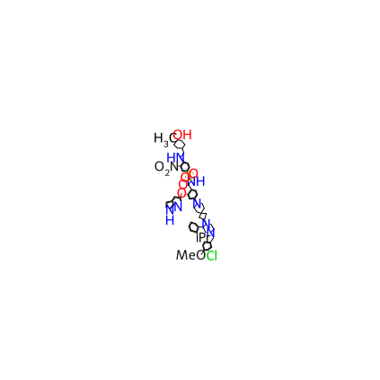 COc1ccc(CN2CCN(C3CC4(CCN(c5ccc(C(=O)NS(=O)(=O)c6ccc(NCC7CCC(C)(O)CC7)c([N+](=O)[O-])c6)c(Oc6cnc7[nH]ccc7c6)c5)CC4)C3)C(c3ccccc3C(C)C)C2)cc1Cl